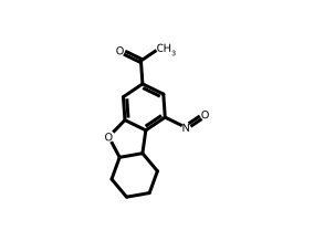 CC(=O)c1cc(N=O)c2c(c1)OC1CCCCC21